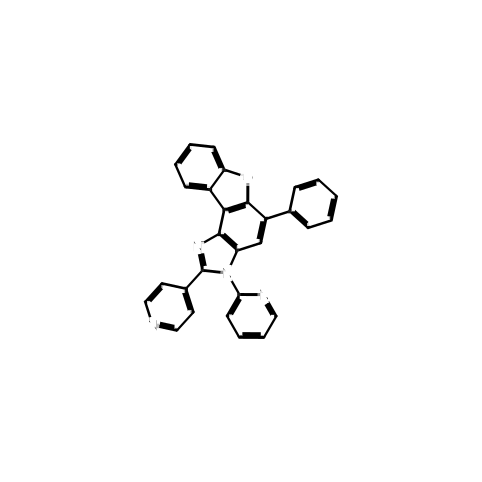 c1ccc(-c2cc3c(nc(-c4ccncc4)n3-c3ccccn3)c3c2oc2ccccc23)cc1